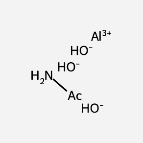 CC(N)=O.[Al+3].[OH-].[OH-].[OH-]